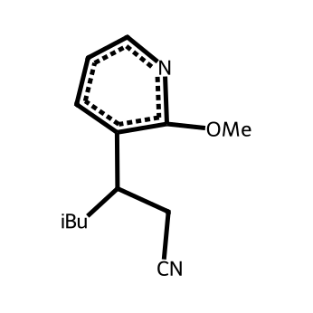 CCC(C)C(CC#N)c1cccnc1OC